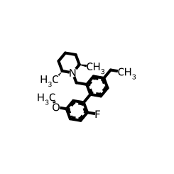 CCc1ccc(-c2cc(OC)ccc2F)c(CN2[C@H](C)CCC[C@H]2C)c1